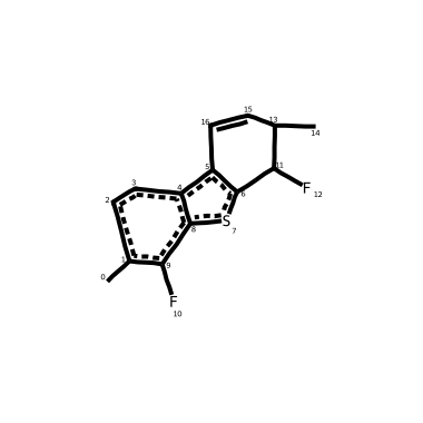 Cc1ccc2c3c(sc2c1F)C(F)C(C)C=C3